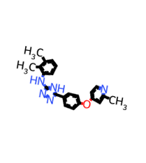 Cc1cc(Oc2ccc(-c3nnc(Nc4cccc(C)c4C)[nH]3)cc2)ccn1